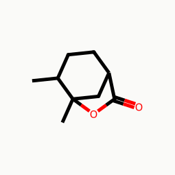 CC1CCC2CC1(C)OC2=O